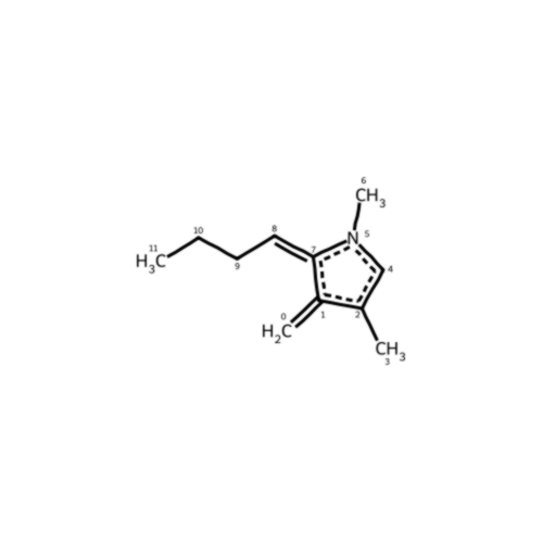 C=c1c(C)cn(C)/c1=C/CCC